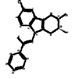 C/C(=C\n1c2c(c3cc(Cl)ccc31)CN(C)[C@H](C)C2)c1ccncc1